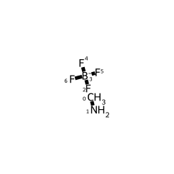 CN.F[B-](F)(F)F